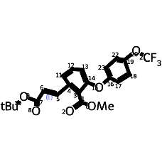 COC(=O)c1c(/C=C/C(=O)OC(C)(C)C)cccc1Oc1ccc(OC(F)(F)F)cc1